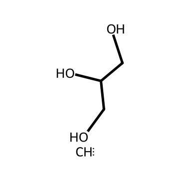 OCC(O)CO.[CH]